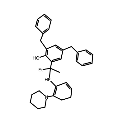 CCC(C)(PC1=C(N2CCCCC2)CCC=C1)c1cc(Cc2ccccc2)cc(Cc2ccccc2)c1O